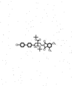 COc1cc(OC)c2c(c1)C(=O)N(CCC(CC(=O)c1ccc(-c3ccc(Cl)cc3)cc1)(C(=O)OC(C)(C)C)C(=O)OC(C)(C)C)C2=O